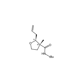 C=CC[C@@H]1OCC[C@@]1(C)C(=O)NC(C)(C)C